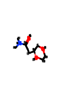 CN(C)C(=O)CC1COCCO1